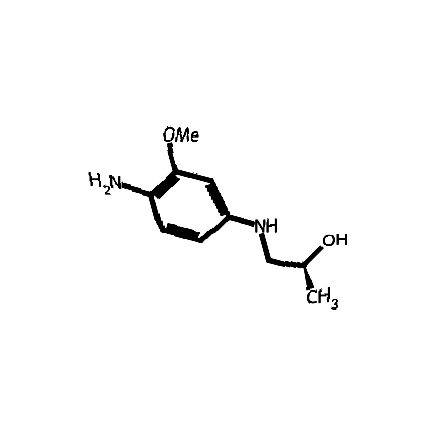 COc1cc(NC[C@H](C)O)ccc1N